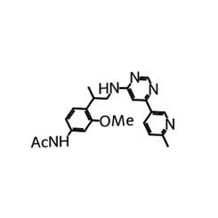 COc1cc(NC(C)=O)ccc1C(C)CNc1cc(-c2ccc(C)nc2)ncn1